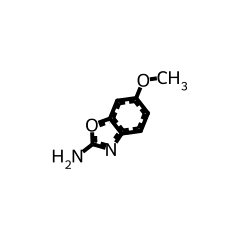 COc1ccc2nc(N)oc2c1